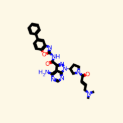 CN(C)CC=CC(=O)N1CC[C@@H](n2nc(C(=O)Nc3nc4cc(-c5ccccc5)ccc4o3)c3c(N)ncnc32)C1